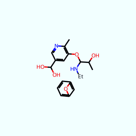 CCNC(Oc1cc(C(O)O)cnc1C)C(C)O.c1cc2cc(c1)O2